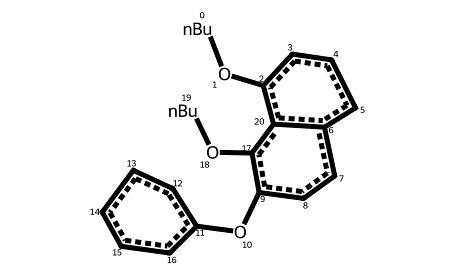 CCCCOc1cccc2ccc(Oc3ccccc3)c(OCCCC)c12